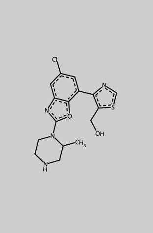 CC1CNCCN1c1nc2cc(Cl)cc(-c3ncsc3CO)c2o1